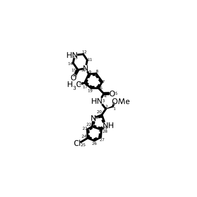 COC[C@H](NC(=O)c1ccc(N2CCNCC2=O)c(C)c1)c1nc2cc(Cl)ccc2[nH]1